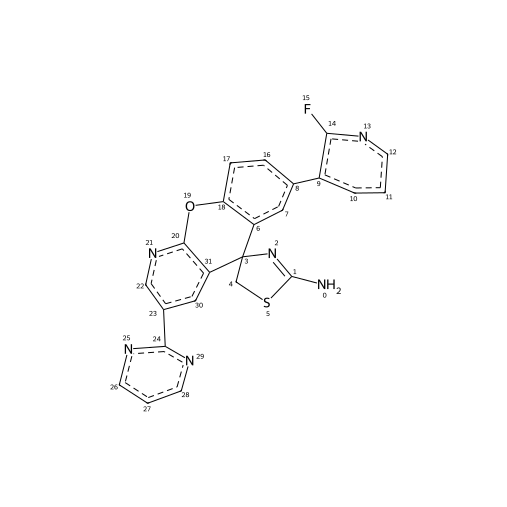 NC1=NC2(CS1)c1cc(-c3cccnc3F)ccc1Oc1ncc(-c3ncccn3)cc12